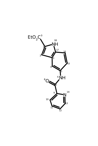 CCOC(=O)c1cc2cc(NC(=O)c3ccccn3)ccc2[nH]1